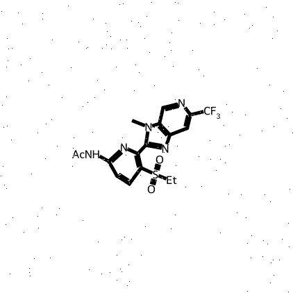 CCS(=O)(=O)c1ccc(NC(C)=O)nc1-c1nc2cc(C(F)(F)F)ncc2n1C